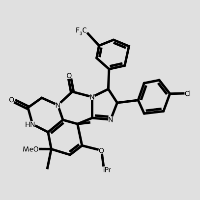 COC1(C)C=C(OC(C)C)C2(C)C3=NC(c4ccc(Cl)cc4)C(c4cccc(C(F)(F)F)c4)N3C(=O)N3CC(=O)NC1=C32